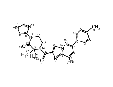 Cc1ccc(-c2cc(C(C)(C)C)c3nc(C(=O)N4CCN(c5c[nH]cn5)C(=O)C4(C)C)cn3n2)cc1